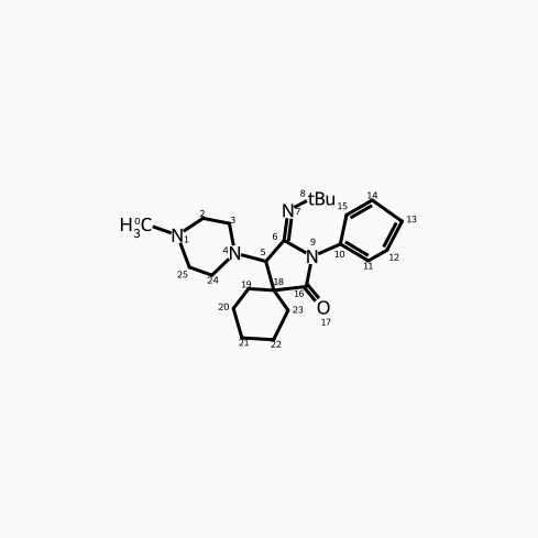 CN1CCN(C2/C(=N/C(C)(C)C)N(c3ccccc3)C(=O)C23CCCCC3)CC1